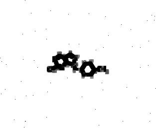 C[C@H]1CC[C@H](Cn2ncc3cnc(Cl)nc32)CC1